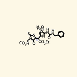 CCOC(=O)/C(=C1/SC(=S)N(CC(=O)O)C1=O)c1csc(NC(=O)NCc2ccccc2)n1.O.O